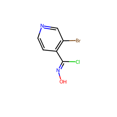 ON=C(Cl)c1ccncc1Br